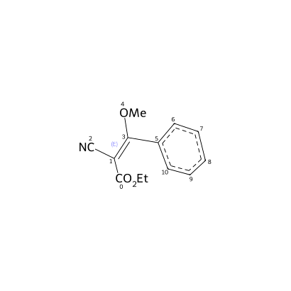 CCOC(=O)/C(C#N)=C(/OC)c1ccccc1